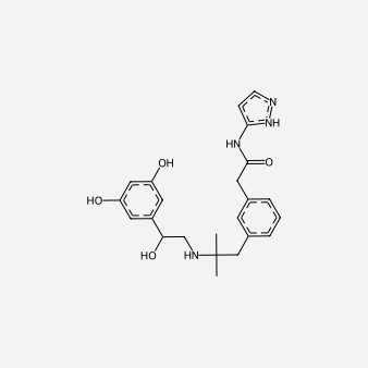 CC(C)(Cc1cccc(CC(=O)Nc2ccn[nH]2)c1)NCC(O)c1cc(O)cc(O)c1